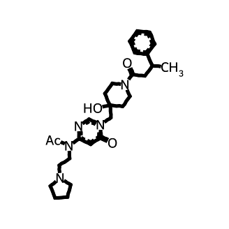 CC(=O)N(CCN1CCCC1)c1cc(=O)n(CC2(O)CCN(C(=O)CC(C)c3ccccc3)CC2)cn1